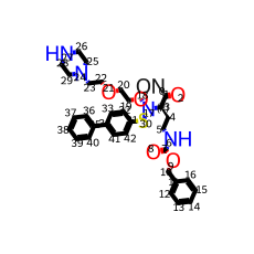 O=NC(=O)[C@@H](CCNC(=O)OCc1ccccc1)N(OCCOCCN1CCNCC1)Sc1ccc(-c2ccccc2)cc1